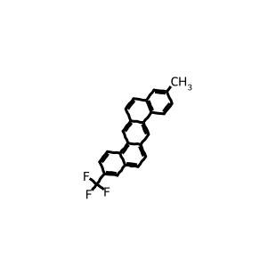 Cc1ccc2c(ccc3cc4c(ccc5cc(C(F)(F)F)ccc54)cc32)c1